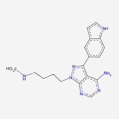 Nc1ncnc2c1c(-c1ccc3[nH]ccc3c1)nn2CCCCNC(=O)O